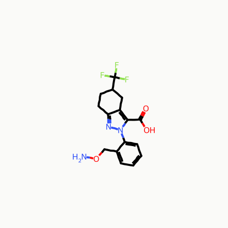 NOCc1ccccc1-n1nc2c(c1C(=O)O)CC(C(F)(F)F)CC2